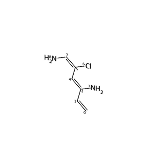 C=C/C(N)=C/C(Cl)=C\N